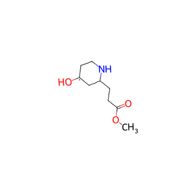 COC(=O)CCC1C[C](O)CCN1